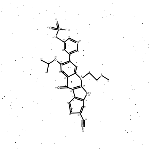 CCCCn1c2cc(-c3cncc(OS(=O)(=O)F)c3)c(OC(C)C)cc2c(=O)c2c3ccc(C#N)cc3[nH]c21